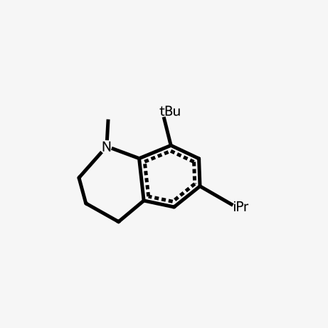 CC(C)c1cc2c(c(C(C)(C)C)c1)N(C)CCC2